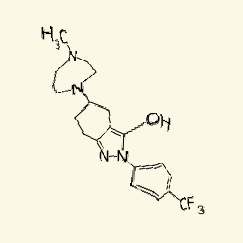 CN1CCN(C2CCc3nn(-c4ccc(C(F)(F)F)cc4)c(O)c3C2)CC1